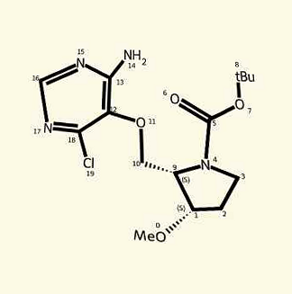 CO[C@H]1CCN(C(=O)OC(C)(C)C)[C@H]1COc1c(N)ncnc1Cl